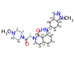 CN1CCN(C(=O)Cn2ccc3cccc(Nc4ccc5c(cnn5C)c4)c3c2=O)CC1